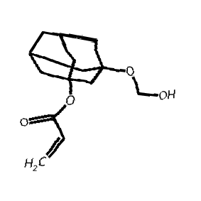 C=CC(=O)OC12CC3CC(CC(OCO)(C3)C1)C2